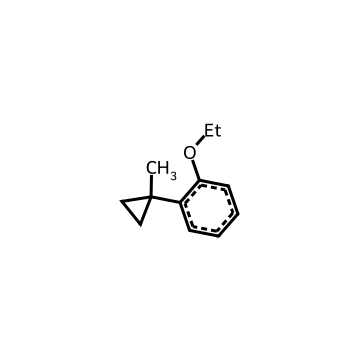 CCOc1ccccc1C1(C)CC1